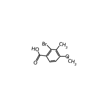 COc1ccc(C(=O)O)c(Br)c1C